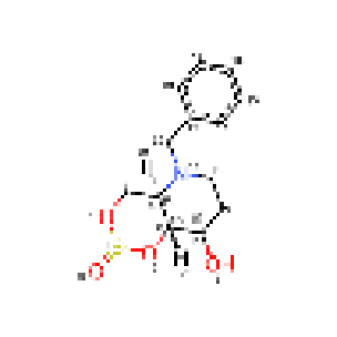 O=S1OC[C@@H]2[C@@H](O1)[C@H](O)CCN2Cc1ccccc1